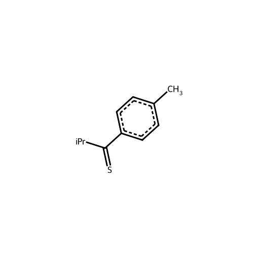 Cc1ccc(C(=S)C(C)C)cc1